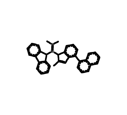 CC1=Cc2c(-c3cccc4ccccc34)cccc2[CH]1[Zr]([CH]1c2ccccc2-c2ccccc21)=[Si](C)C